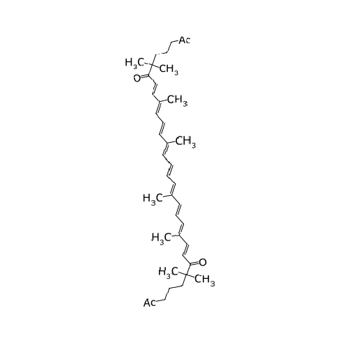 CC(=O)CCCC(C)(C)C(=O)/C=C/C(C)=C/C=C/C(C)=C/C=C/C=C(C)/C=C/C=C(C)/C=C/C(=O)C(C)(C)CCCC(C)=O